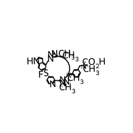 C[C@@H](Cc1cccc([C@@]2(C)CCCCC(C)(C)c3cn(nn3)Cc3c(c(F)cc4[nH]ccc34)Sc3ccnc(c3)-c3nc2nn3C)c1)C(=O)O